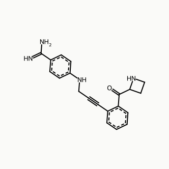 N=C(N)c1ccc(NCC#Cc2ccccc2C(=O)C2CCN2)cc1